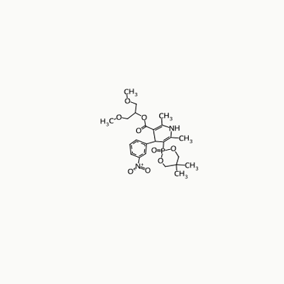 COCC(COC)OC(=O)C1=C(C)NC(C)=C(P2(=O)OCC(C)(C)CO2)C1c1cccc([N+](=O)[O-])c1